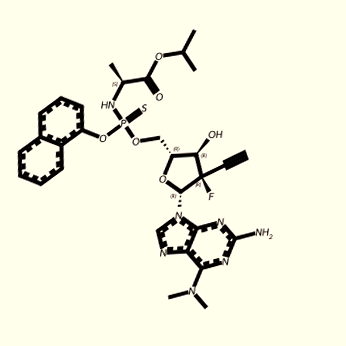 C#C[C@@]1(F)[C@H](O)[C@@H](COP(=S)(N[C@@H](C)C(=O)OC(C)C)Oc2cccc3ccccc23)O[C@H]1n1cnc2c(N(C)C)nc(N)nc21